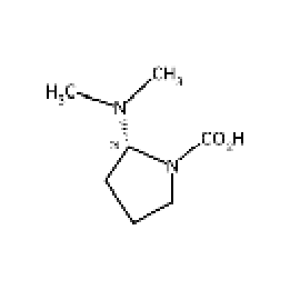 CN(C)[C@H]1CCCN1C(=O)O